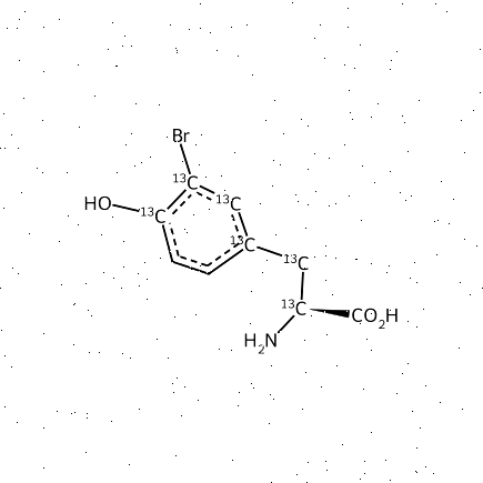 N[13C@@H]([13CH2][13c]1cc[13c](O)[13c](Br)[13cH]1)C(=O)O